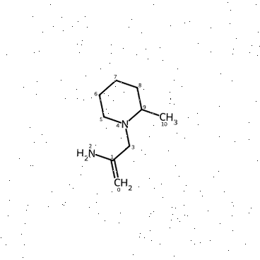 C=C(N)CN1CCCCC1C